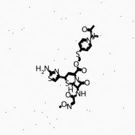 CO/N=C\C(=O)NC1C(=O)N2C(C(=O)OCSc3cc[n+](N(C)C(C)=O)cc3)=CC(c3csc(N)n3)S[C@@H]12